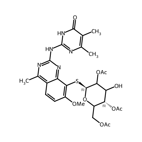 COc1ccc2c(C)nc(Nc3nc(C)c(C)c(=O)[nH]3)nc2c1S[C@@H]1OC(COC(C)=O)[C@@H](OC(C)=O)C(O)C1OC(C)=O